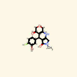 CN1CC2=C(C1=O)C(c1ccc(F)c(Br)c1)C1=C(COCC1=O)N2